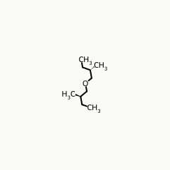 CC[C@@H](C)COC[C@@H](C)CC